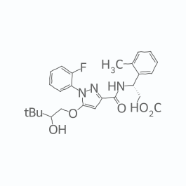 Cc1ccccc1[C@H](CC(=O)O)NC(=O)c1cc(OCC(O)C(C)(C)C)n(-c2ccccc2F)n1